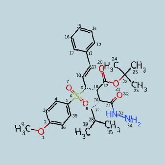 COc1ccc(S(=O)(=O)C(/C=C/c2ccccc2)[C@H](C(=O)OC(C)(C)C)[C@@H](CC(C)C)C(=O)NN)cc1